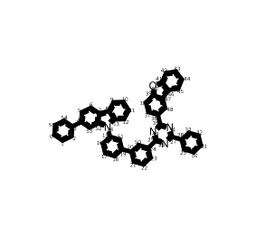 c1ccc(-c2ccc3c4ccccc4n(-c4cccc(-c5cccc(-c6nc(-c7ccccc7)nc(-c7ccc8oc9ccccc9c8c7)n6)c5)c4)c3c2)cc1